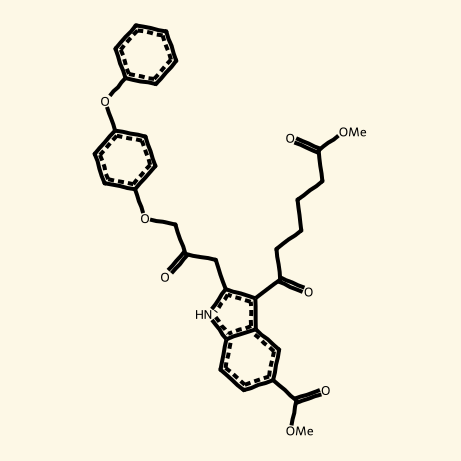 COC(=O)CCCCC(=O)c1c(CC(=O)COc2ccc(Oc3ccccc3)cc2)[nH]c2ccc(C(=O)OC)cc12